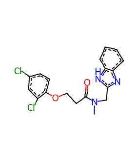 CN(Cc1nc2ccccc2[nH]1)C(=O)CCOc1ccc(Cl)cc1Cl